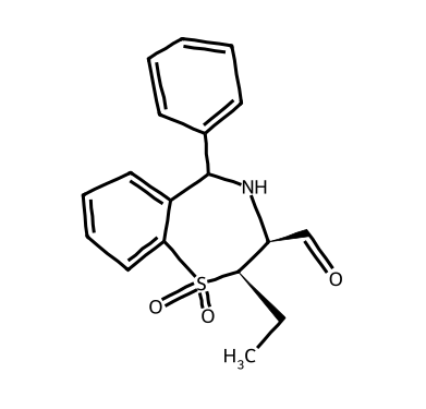 CC[C@@H]1[C@H](C=O)NC(c2ccccc2)c2ccccc2S1(=O)=O